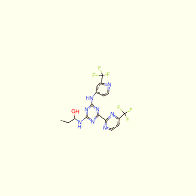 CCC(O)Nc1nc(Nc2ccnc(C(F)(F)F)c2)nc(-c2nccc(C(F)(F)F)n2)n1